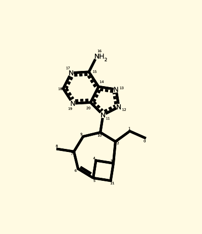 CCC1C2CC(=CC(C)CC1n1nnc3c(N)ncnc31)C2